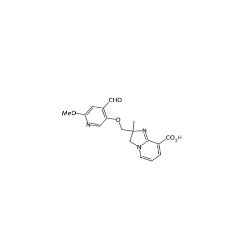 COc1cc(C=O)c(OCC2(C)CN3C=CC=C(C(=O)O)C3=N2)cn1